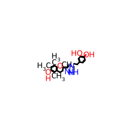 Cc1c(C)c2c(c(C)c1O)CCC(C)(/C(=C/NCCc1ccc(O)c(O)c1)N=N)O2